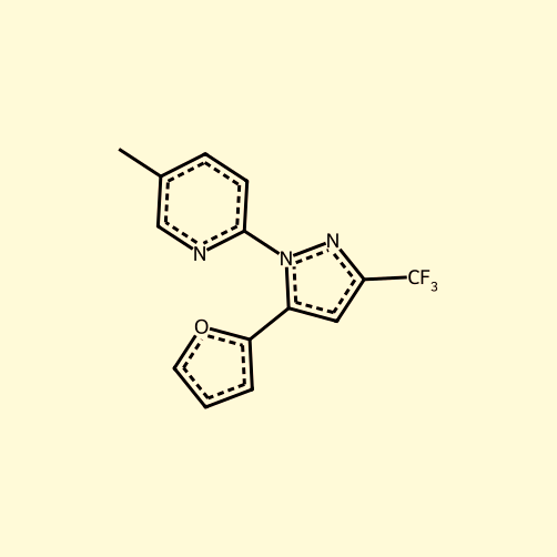 Cc1ccc(-n2nc(C(F)(F)F)cc2-c2ccco2)nc1